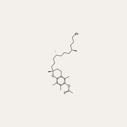 Cc1c(C)c2c(c(C)c1OS(C)=S)CC[C@@](C)(CCC[C@H](C)CCC[C@H](C)CCCC(C)C)O2